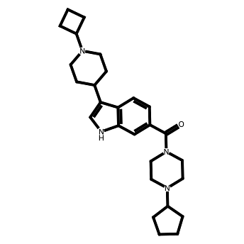 O=C(c1ccc2c(C3CCN(C4CCC4)CC3)c[nH]c2c1)N1CCN(C2CCCC2)CC1